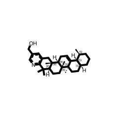 C[C@H]1CCC[C@H]2CC[C@]3(C)C(=CC[C@@H]4[C@@]5(C)Cc6cc(CO)cnc6C(C)(C)[C@@H]5CC[C@]43C)[C@H]21